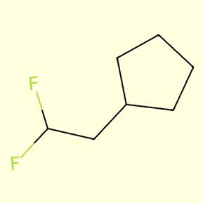 FC(F)CC1CCCC1